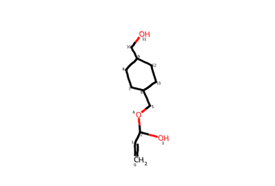 C=CC(O)OCC1CCC(CO)CC1